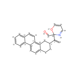 C=C(C1CCc2ccc3c(ccc4ccccc43)c2C1)C1(C=O)N=CC=CO1